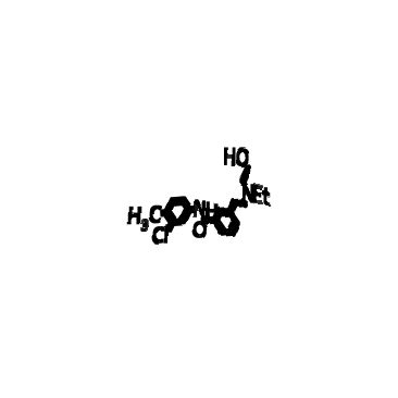 CCN(CCO)CCc1cccc(C(=O)Nc2ccc(C)c(Cl)c2)c1